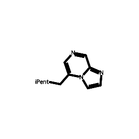 CCCC(C)Cc1cncc2nccn12